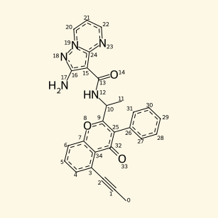 CC#Cc1cccc2oc(C(C)NC(=O)c3c(N)nn4cccnc34)c(-c3ccccc3)c(=O)c12